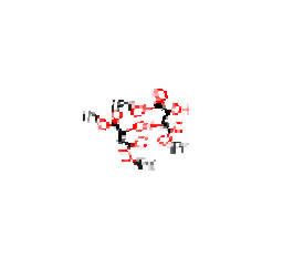 CC(C)OC(=O)CC(O)C(=O)OC(C)C.CC(C)OC(=O)CC(O)C(=O)OC(C)C